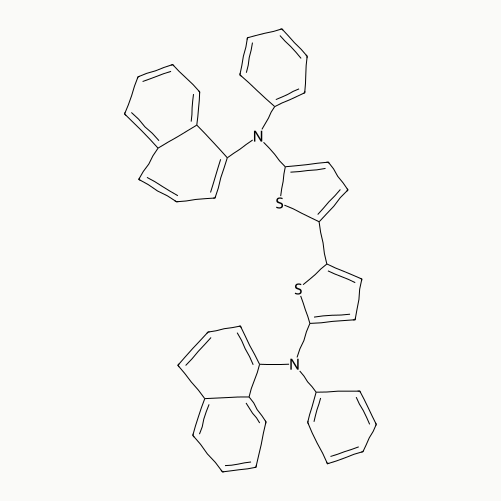 c1ccc(N(c2ccc(-c3ccc(N(c4ccccc4)c4cccc5ccccc45)s3)s2)c2cccc3ccccc23)cc1